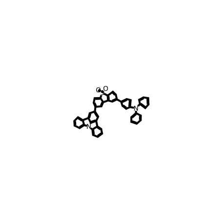 O=S1(=O)c2ccc(-c3ccc(N(c4ccccc4)c4ccccc4)cc3)cc2-c2cc(-c3cc4c5ccccc5n5c6ccccc6c(c3)c45)ccc21